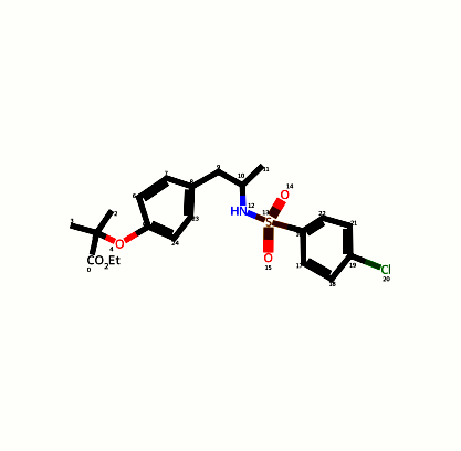 CCOC(=O)C(C)(C)Oc1ccc(CC(C)NS(=O)(=O)c2ccc(Cl)cc2)cc1